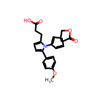 COc1ccc(-c2ccc(CCC(=O)O)n2-c2ccc3c(c2)COC3=O)cc1